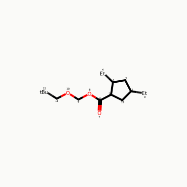 CCC1CC(CC)C(C(=O)OCOCC(C)(C)C)C1